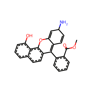 COC(=O)c1ccccc1C1=C2C=CC(N)C=C2Oc2c1ccc1cccc(O)c21